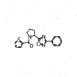 O=C(c1cccs1)N1CCCC1c1nc(-c2ccccc2)no1